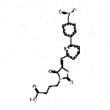 O=C(O)CCCN1C(=O)S/C(=C\c2cccc(-c3ccc([N+](=O)[O-])cc3)n2)C1=O